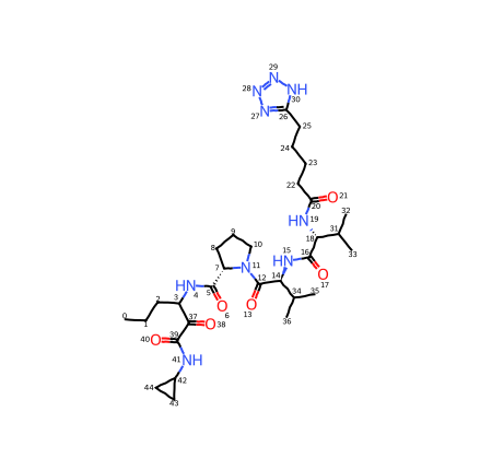 CCCC(NC(=O)[C@@H]1CCCN1C(=O)[C@@H](NC(=O)[C@H](NC(=O)CCCCc1nnn[nH]1)C(C)C)C(C)C)C(=O)C(=O)NC1CC1